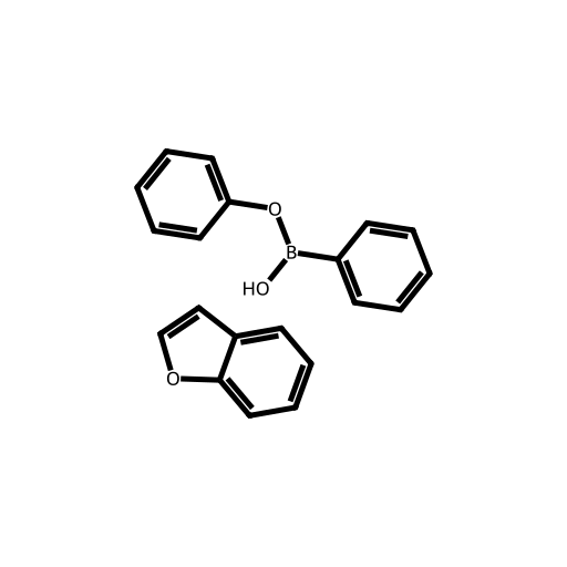 OB(Oc1ccccc1)c1ccccc1.c1ccc2occc2c1